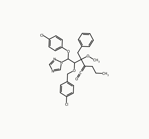 CCCC(=C=O)C(Cc1ccccc1)(OC)C(OCc1ccc(Cl)cc1)C(Oc1ccc(Cl)cc1)n1cncn1